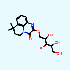 CC1(C)CCn2c(=O)c(OCC(O)C(O)C(O)CO)nc3cccc1c32